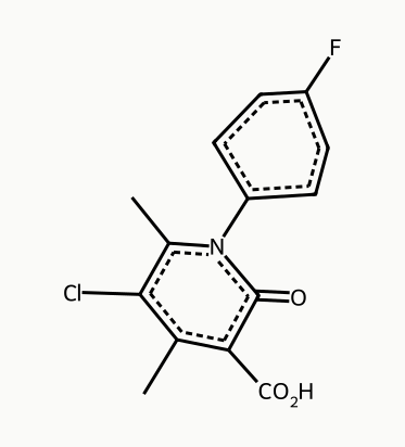 Cc1c(Cl)c(C)n(-c2ccc(F)cc2)c(=O)c1C(=O)O